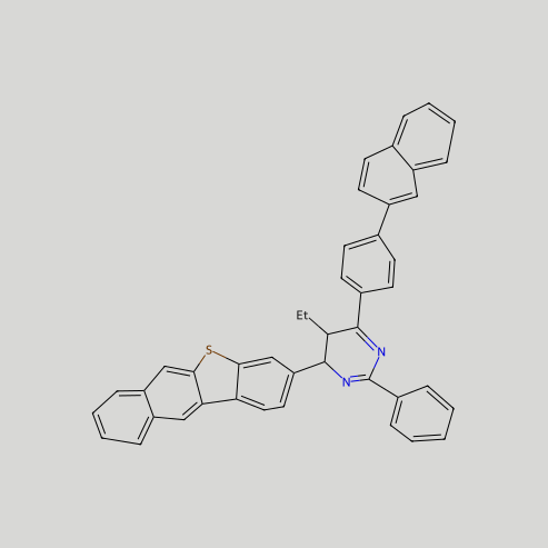 CCC1C(c2ccc(-c3ccc4ccccc4c3)cc2)=NC(c2ccccc2)=NC1c1ccc2c(c1)sc1cc3ccccc3cc12